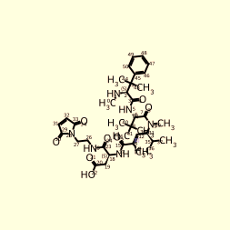 CN[C@H](C(=O)N[C@H](C(=O)N(C)[C@H](/C=C(\C)C(=O)N[C@@H](CC(=O)O)C(=O)NCCN1C(=O)C=CC1=O)C(C)C)C(C)(C)C)C(C)(C)c1ccccc1